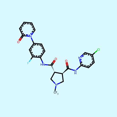 O=C(Nc1ccc(Cl)cn1)[C@H]1CN(C(F)(F)F)C[C@@H]1C(=O)Nc1ccc(-n2ccccc2=O)cc1F